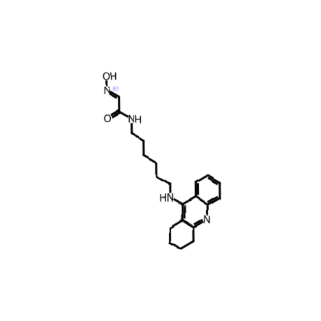 O=C(/C=N/O)NCCCCCCNc1c2c(nc3ccccc13)CCCC2